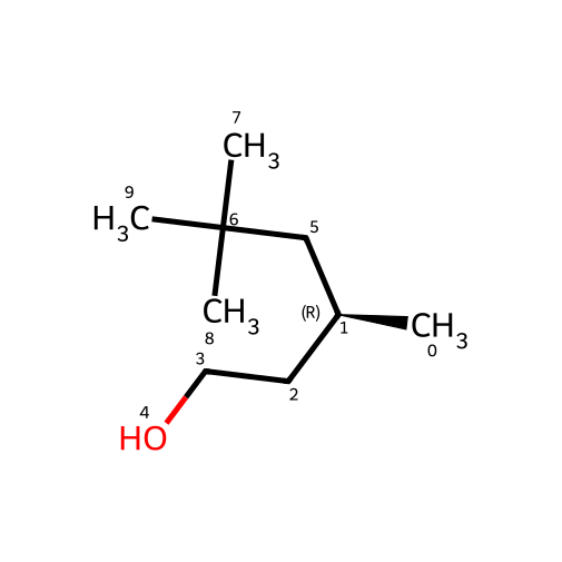 C[C@@H](CCO)CC(C)(C)C